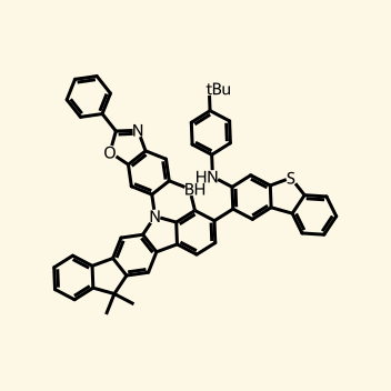 CC(C)(C)c1ccc(Nc2cc3sc4ccccc4c3cc2-c2ccc3c4cc5c(cc4n4c3c2Bc2cc3nc(-c6ccccc6)oc3cc2-4)-c2ccccc2C5(C)C)cc1